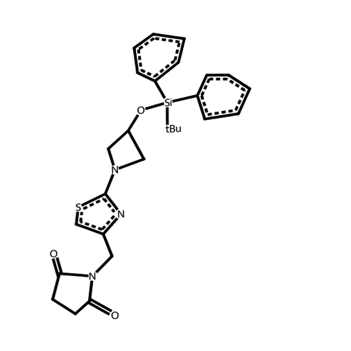 CC(C)(C)[Si](OC1CN(c2nc(CN3C(=O)CCC3=O)cs2)C1)(c1ccccc1)c1ccccc1